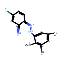 COc1c(N/N=C2/C=CC(Cl)=CC2=N)cc(C(C)(C)C)cc1C(C)(C)C